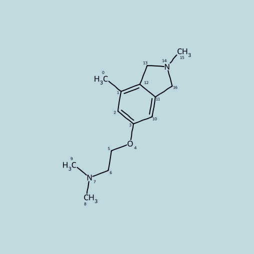 Cc1cc(OCCN(C)C)cc2c1CN(C)C2